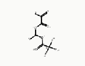 C=C(C)C(=O)OC(C)OC(=O)C(F)(F)F